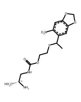 CC(SCCOC(=O)NC[C@H](N)C(=O)O)c1cc2c(cc1[N+](=O)[O-])OCO2